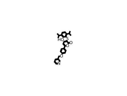 CC(C)c1ccc(C(C)C)c(Sc2c(O)cc(-c3ccc(OCc4cccnc4)cc3)oc2=O)c1